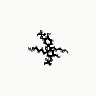 CCCCCC1(OC2(CCCCC)C=C(OC(F)(F)F)C(I)=CC2)C=C(OC(F)(F)F)C(I)=CC1